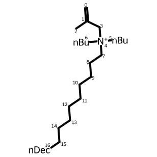 C=C(C)C[N+](CCCC)(CCCC)CCCCCCCCCCCCCCCCCCC